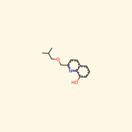 CC(C)COCc1ccc2cccc(O)c2n1